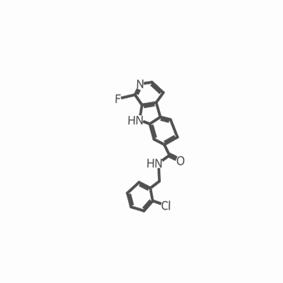 O=C(NCc1ccccc1Cl)c1ccc2c(c1)[nH]c1c(F)nccc12